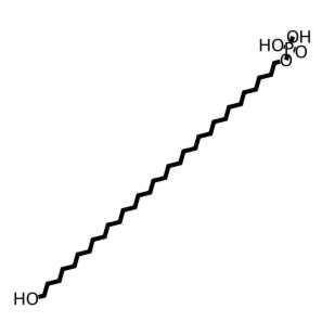 O=P(O)(O)OCCCCCCCCCCCCCCCCCCCCCCCCCCCCCCCCO